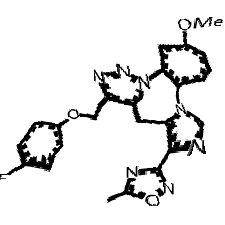 COc1ccc2c(c1)-n1nnc(COc3ccc(F)cc3)c1Cc1c(-c3noc(C)n3)ncn1-2